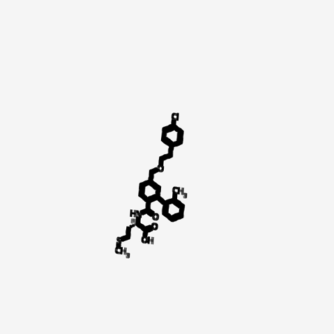 CSCC[C@H](NC(=O)c1ccc(COCCc2ccc(Cl)cc2)cc1-c1ccccc1C)C(=O)O